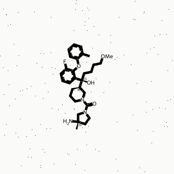 COCCCC[C@@](O)(c1cccc(F)c1Oc1ccccc1C)[C@@H]1CCCN(C(=O)N2CC[C@](C)(N)C2)C1